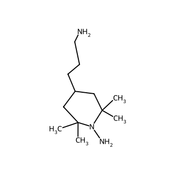 CC1(C)CC(CCCN)CC(C)(C)N1N